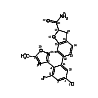 Cc1nc(-c2c(F)cc(Cl)cc2-c2ccc3c(c2)OC(C(N)=O)[C]3)no1